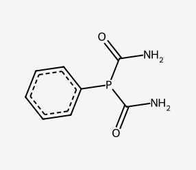 NC(=O)P(C(N)=O)c1ccccc1